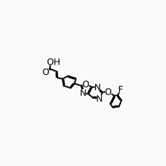 O=C(O)C=Cc1ccc(-c2nc3cnc(Oc4ccccc4F)nc3o2)cc1